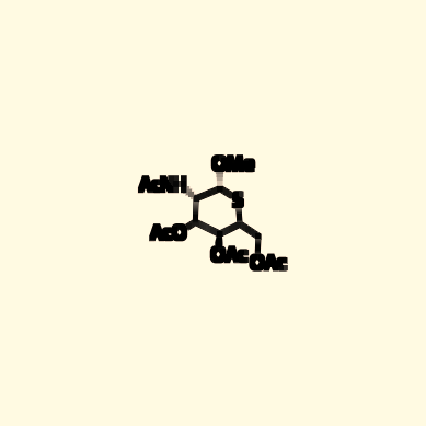 CO[C@@H]1SC(COC(C)=O)[C@@H](OC(C)=O)C(OC(C)=O)[C@@H]1NC(C)=O